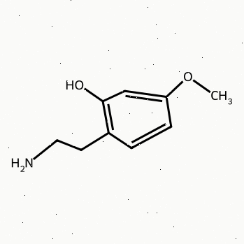 COc1ccc(CCN)c(O)c1